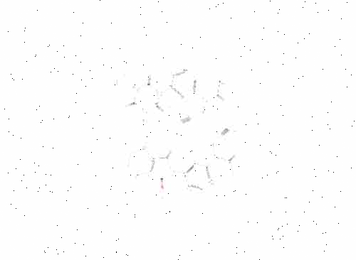 C#CCN1C(=O)C(F)(F)Oc2cc(F)c(-n3c(=O)n(C)c(=S)n(C)c3=O)cc21.C#CCN1C(=O)COc2cc(F)c(N3C(=O)C4=C(CCCC4)C3=O)cc21